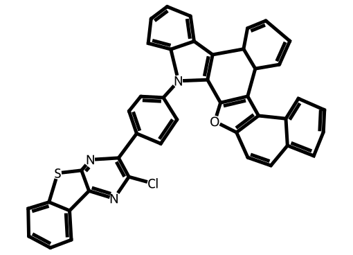 Clc1nc2c(nc1-c1ccc(-n3c4c(c5ccccc53)C3C=CC=CC3c3c-4oc4ccc5ccccc5c34)cc1)sc1ccccc12